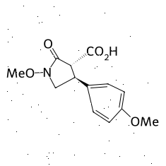 COc1ccc([C@H]2CN(OC)C(=O)[C@@H]2C(=O)O)cc1